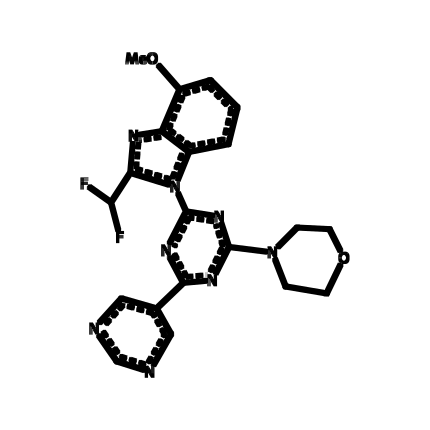 COc1cccc2c1nc(C(F)F)n2-c1nc(-c2cncnc2)nc(N2CCOCC2)n1